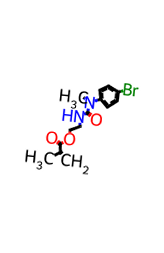 C=C(C)C(=O)OCCNC(=O)N(C)c1ccc(Br)cc1